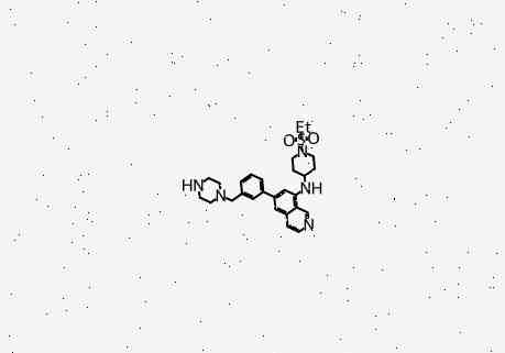 CCS(=O)(=O)N1CCC(Nc2cc(-c3cccc(CN4CCNCC4)c3)cc3ccncc23)CC1